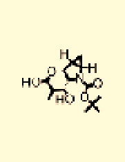 CC(C(=O)O)C(O)[C@@H]1C[C@@H]2C[C@@H]2N1C(=O)OC(C)(C)C